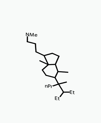 CCCC(C)(C(CC)CC)C1CCC2(C)C(CCCNC)CCC2C1C